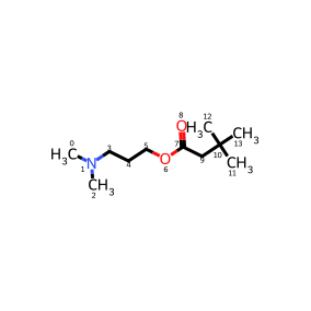 CN(C)CCCOC(=O)CC(C)(C)C